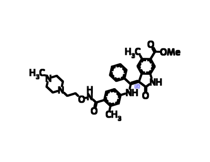 COC(=O)c1cc2c(cc1C)/C(=C(/Nc1ccc(C(=O)NOCCN3CCN(C)CC3)c(C)c1)c1ccccc1)C(=O)N2